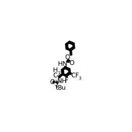 C[C@@H](N[S@+]([O-])C(C)(C)C)c1cc(NC(=O)OCc2ccccc2)cc(C(F)(F)F)c1F